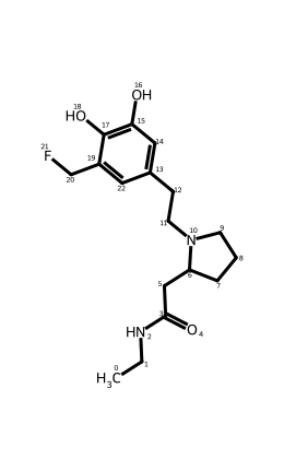 CCNC(=O)CC1CCCN1CCc1cc(O)c(O)c(CF)c1